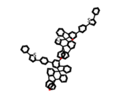 c1ccc(-c2ccc(-c3ccc(-c4ccc5c(c4)-c4ccccc4C54c5ccccc5C5(c6ccccc6)c6cc(-c7cc(-c8ccc(-c9ccc(-c%10ccccc%10)s9)cc8)cc8c7-c7ccccc7C87c8ccccc8C8(c9ccccc9)c9ccccc9-c9cccc7c98)ccc6-c6cccc4c65)cc3)s2)cc1